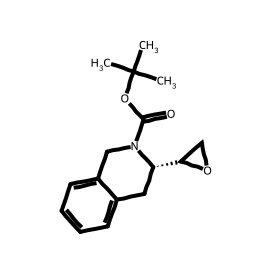 CC(C)(C)OC(=O)N1Cc2ccccc2C[C@H]1C1CO1